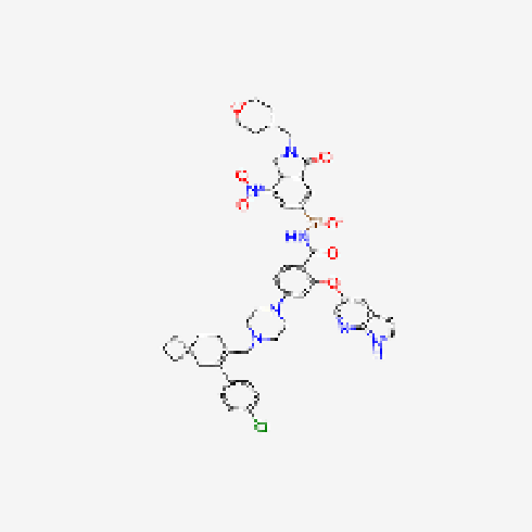 O=C(N[S+]([O-])C1=CC2C(=O)N(CC3CCOCC3)CC2C([N+](=O)[O-])=C1)c1ccc(N2CCN(CC3=C(c4ccc(Cl)cc4)CC4(CCC4)CC3)CC2)cc1Oc1cnc2[nH]ccc2c1